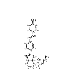 [N-]=[N+]=NS(=O)(=O)c1cccc2nc(-c3ccc(N=Nc4ccc(O)cc4)cc3)sc12